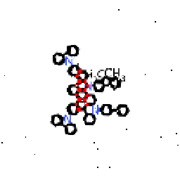 CC1(C)c2ccccc2-c2ccc(N(c3ccc(-c4ccc(-n5c6ccccc6c6ccccc65)cc4)cc3)c3ccccc3-c3cccc(-c4ccc(-c5ccccc5N(c5ccc(-c6ccccc6)cc5)c5ccc(-c6ccc(-c7ccc(-n8c9ccccc9c9ccccc98)cc7)cc6)cc5)cc4)c3)cc21